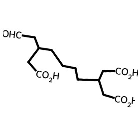 O=[C]CC(CCCCC(CC(=O)O)CC(=O)O)CC(=O)O